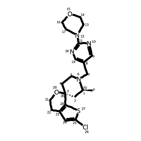 C[C@H]1C[C@@]2(CCN1Cc1cnc(N3CCOCC3)nc1)OCCc1cc(Cl)sc12